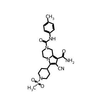 Cc1ccc(NC(=O)N2CCn3c(c(C(N)=O)c(C#N)c3C3CCN(S(C)(=O)=O)CC3)C2)cc1